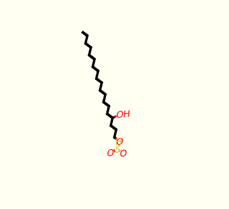 CCCCCCCCCCCCCCCC(O)CCCO[SH](=O)=O